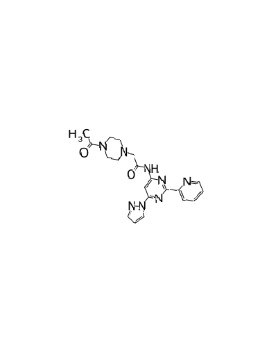 CC(=O)N1CCN(CC(=O)Nc2cc(-n3cccn3)nc(-c3ccccn3)n2)CC1